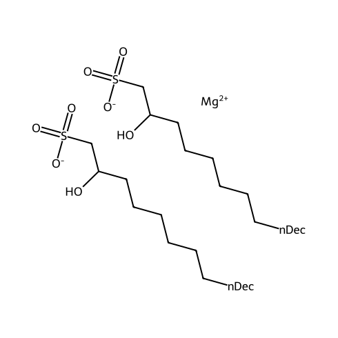 CCCCCCCCCCCCCCCCC(O)CS(=O)(=O)[O-].CCCCCCCCCCCCCCCCC(O)CS(=O)(=O)[O-].[Mg+2]